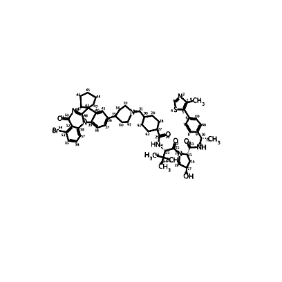 Cc1ncsc1-c1ccc([C@H](C)NC(=O)[C@@H]2C[C@@H](O)CN2C(=O)[C@@H](NC(=O)C2CCC(CN3CCC(c4ccc5c(c4)C4(CCCCC4)c4nc(=O)c6c(Br)cccc6n4-5)CC3)CC2)C(C)(C)C)cc1